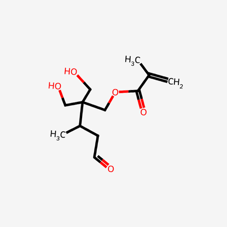 C=C(C)C(=O)OCC(CO)(CO)C(C)CC=O